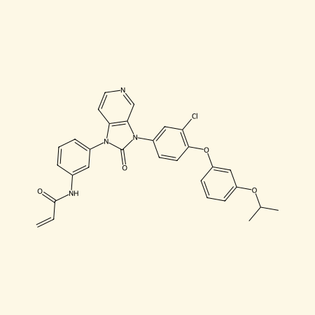 C=CC(=O)Nc1cccc(-n2c(=O)n(-c3ccc(Oc4cccc(OC(C)C)c4)c(Cl)c3)c3cnccc32)c1